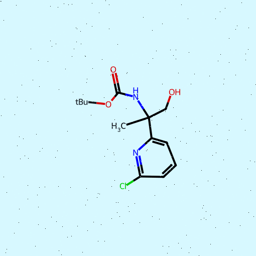 CC(C)(C)OC(=O)NC(C)(CO)c1cccc(Cl)n1